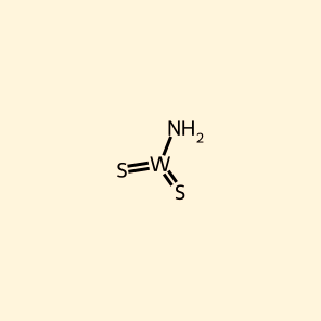 [NH2][W](=[S])=[S]